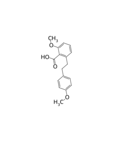 COc1ccc(CCc2cccc(OC)c2C(=O)O)cc1